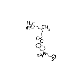 CCCN(CCc1cccs1)C1CCc2c(cccc2OC(=O)CCCC(C)CCC(C)CC(C)C)C1